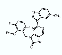 CCOc1c(F)ccc(F)c1Cn1c(=O)[nH]c2cnc(-n3cnc4ccc(C)cc43)nc21